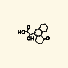 O=C1CCCc2c(C(O)C(=O)O)cc3c(c21)CCCC3